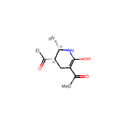 CCC[C@@H]1NC(O)=C(C(=O)OC)C[C@@H]1C(=O)CC